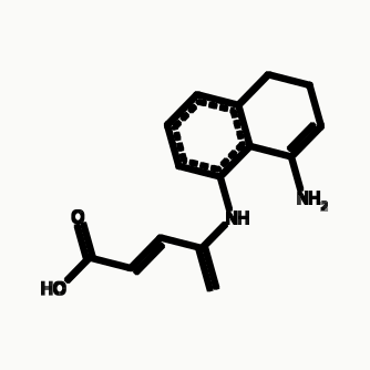 C=C(C=CC(=O)O)Nc1cccc2c1C(N)=CCC2